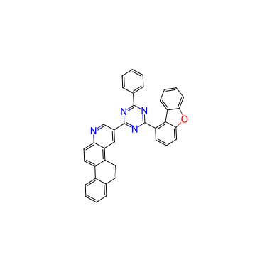 c1ccc(-c2nc(-c3cnc4ccc5c6ccccc6ccc5c4c3)nc(-c3cccc4oc5ccccc5c34)n2)cc1